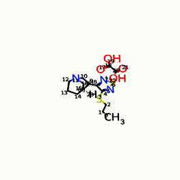 CCCSc1nsnc1[C@@H]1CN2CCC[C@H]1C2.O=C(O)C(=O)O